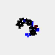 CC(Nc1ccc(CN2CCc3cc(C)c(C)cc3C2)cc1)=C1C(=O)Nc2ccc(N)cc21